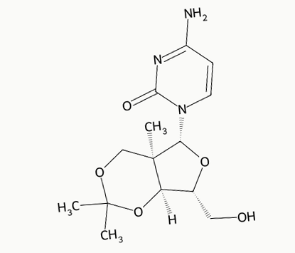 CC1(C)OC[C@]2(C)[C@H](O1)[C@@H](CO)O[C@H]2n1ccc(N)nc1=O